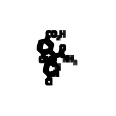 COc1ccc(C(=O)O)cc1C(C(N)=O)c1ccc(Cl)nn1